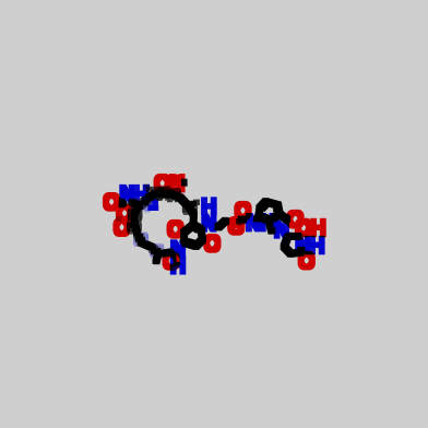 CO[C@H]1/C=C\C=C(/C)C(=O)NC2=CC(=O)C(NCCOC(=O)Nc3cccc4c3CN(C3CCC(=O)NC3O)C4=O)=C(C[C@@H](C)C[C@H](OC)[C@@H](O)[C@@H](C)/C=C(\C)[C@@H]1OC(N)=O)C2=O